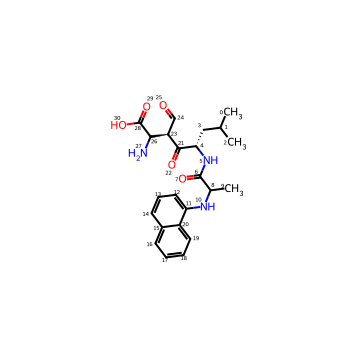 CC(C)C[C@H](NC(=O)C(C)Nc1cccc2ccccc12)C(=O)[C@H](C=O)C(N)C(=O)O